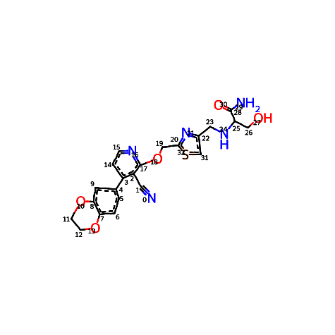 N#Cc1c(-c2ccc3c(c2)OCCO3)ccnc1OCc1nc(CNC(CO)C(N)=O)cs1